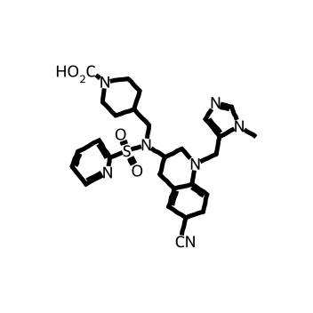 Cn1cncc1CN1CC(N(CC2CCN(C(=O)O)CC2)S(=O)(=O)c2ccccn2)CC2=CC(C#N)CC=C21